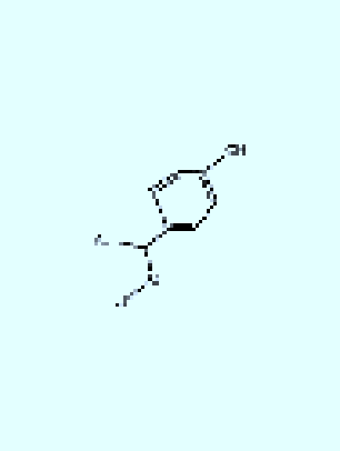 CCOC(C(C)=O)c1ccc(O)cc1